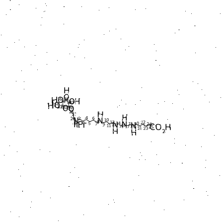 CCCN(CCCCCCNCCCCNCCNCCNCCCCCC(=O)O)CCCO[C@H]1O[C@H](CO)[C@@H](O)[C@H](O)[C@@H]1O